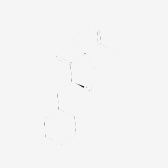 N[C@@H](CC1CCCCC1)C(=O)C(F)(F)C(=O)O